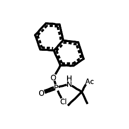 CC(=O)C(C)(C)NP(=O)(Cl)Oc1cccc2ccccc12